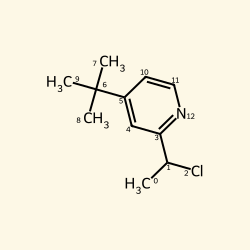 CC(Cl)c1cc(C(C)(C)C)ccn1